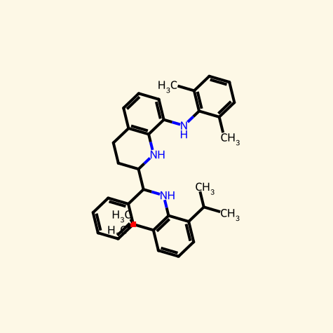 Cc1cccc(C)c1Nc1cccc2c1NC(C(Nc1c(C(C)C)cccc1C(C)C)c1ccccc1)CC2